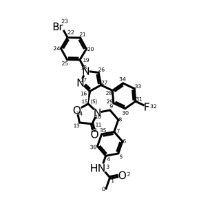 CC(=O)Nc1ccc(CCN2C(=O)CO[C@H]2c2nn(-c3ccc(Br)cc3)cc2-c2ccc(F)cc2)cc1